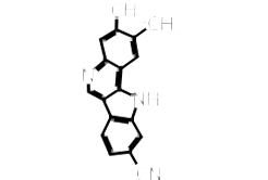 Cc1cc2ncc3c4ccc(C#N)cc4[nH]c3c2cc1C